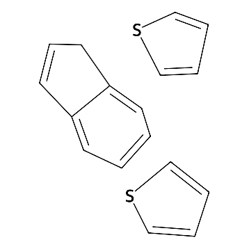 C1=Cc2ccccc2C1.c1ccsc1.c1ccsc1